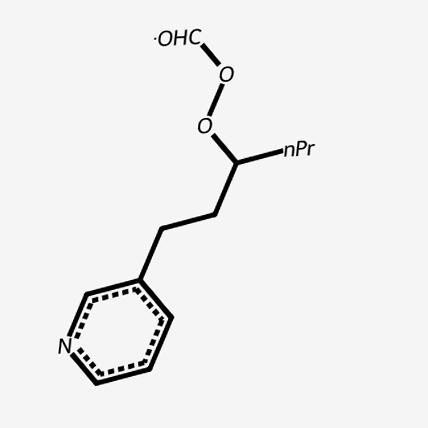 CCCC(CCc1cccnc1)OO[C]=O